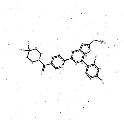 NCc1cc2cc(-c3ccc(C(=O)N4CCC(F)(F)CC4)cn3)cc(-c3ccc(F)cc3F)c2o1